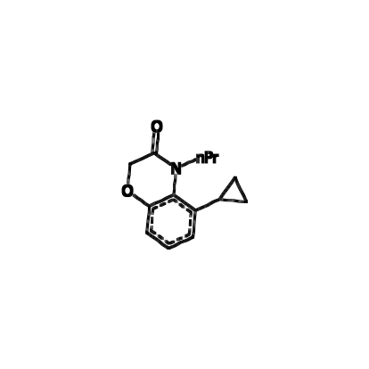 CCCN1C(=O)COc2cccc(C3CC3)c21